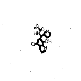 CN(C)C(=O)NC(c1cccnc1)c1cc(Cl)c2cccnc2c1O